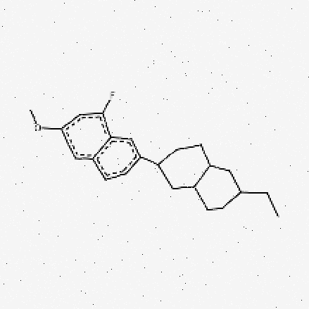 CCC1CCC2CC(c3ccc4cc(OC)cc(F)c4c3)CCC2C1